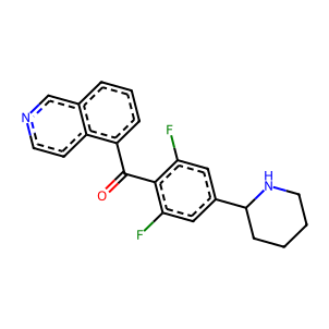 O=C(c1c(F)cc(C2CCCCN2)cc1F)c1cccc2cnccc12